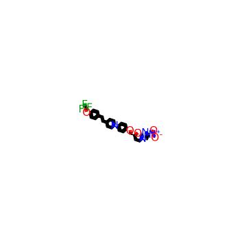 O=[N+]([O-])c1cn2c(n1)O[C@H](COc1ccc(N3CCC(CCc4ccc(OC(F)(F)F)cc4)CC3)cc1)CC2